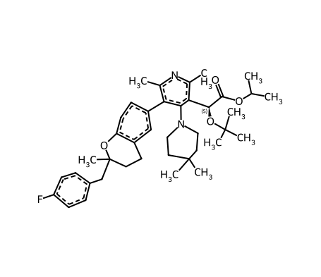 Cc1nc(C)c([C@H](OC(C)(C)C)C(=O)OC(C)C)c(N2CCC(C)(C)CC2)c1-c1ccc2c(c1)CCC(C)(Cc1ccc(F)cc1)O2